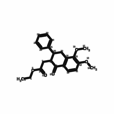 CCOC(=O)CC1C(=O)c2ccc(OC)c(OC)c2CC1c1ccccc1